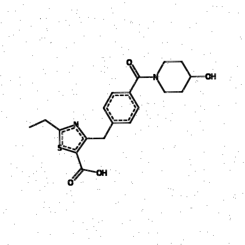 CCc1nc(Cc2ccc(C(=O)N3CCC(O)CC3)cc2)c(C(=O)O)s1